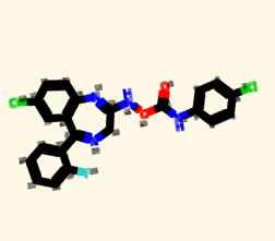 O=C(Nc1ccc(Cl)cc1)ONC1=Nc2ccc(Cl)cc2C(c2ccccc2F)=NC1